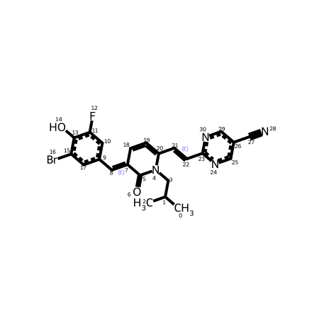 CC(C)CN1C(=O)/C(=C/c2cc(F)c(O)c(Br)c2)C=C=C1/C=C/c1ncc(C#N)cn1